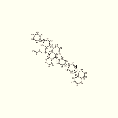 C=CCC/C(C1=c2ccccc2=C(c2ccc(-c3ccc(C4=c5ccccc5=CCC4)nc3)cc2)C2C=CC=CC12)=C1/C=CC=C(c2ccccc2)C1